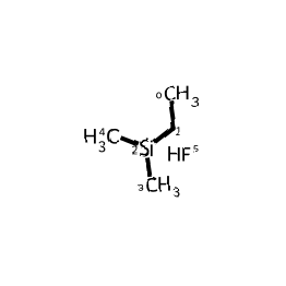 CC[Si](C)C.F